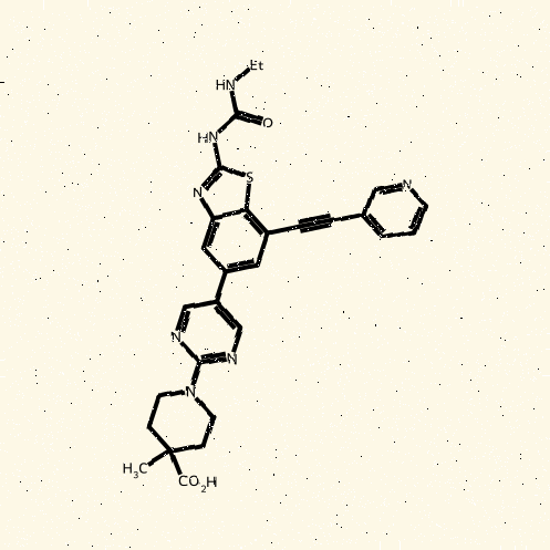 CCNC(=O)Nc1nc2cc(-c3cnc(N4CCC(C)(C(=O)O)CC4)nc3)cc(C#Cc3cccnc3)c2s1